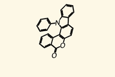 O=c1oc2ccc3c4ccccc4n(-c4ccccc4)c3c2c2ccccc12